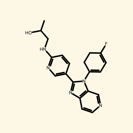 CC(O)CNc1ccc(-c2nc3ccncc3n2C2=CC=C(F)CC2)cn1